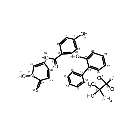 CC(C)(O)C(Cl)(Cl)Cl.O=C(O)c1ccc(O)cc1.Oc1ccccc1-c1ccccc1.On1ccccc1=S